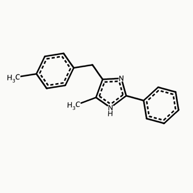 Cc1ccc(Cc2nc(-c3ccccc3)[nH]c2C)cc1